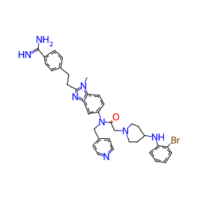 Cn1c(CCc2ccc(C(=N)N)cc2)nc2cc(N(Cc3ccncc3)C(=O)CN3CCC(Nc4ccccc4Br)CC3)ccc21